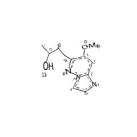 COc1cc2nccn2nc1CC(C)O